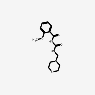 COc1ccccc1C(=O)NC(=O)NCN1CCOCC1